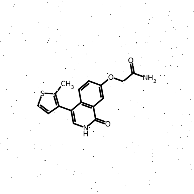 Cc1sccc1-c1c[nH]c(=O)c2cc(OCC(N)=O)ccc12